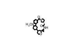 Cn1c2c(c3cc(C(=O)N4CC[C@H](CC(=O)NC5CC5)C4)ccc31)CC(C1CCOCC1)CC2